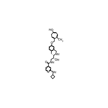 CC1=CC=C(O)CC=C1COc1ccc2c(c1)CN[C@H]([C@H](O)CNC(=O)c1ccnc(NC3CCC3)c1)C2